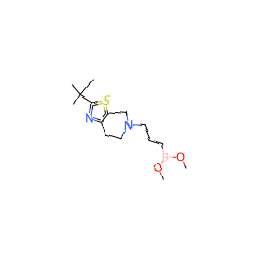 COB(CCCN1CCc2nc(C(C)(C)C)sc2C1)OC